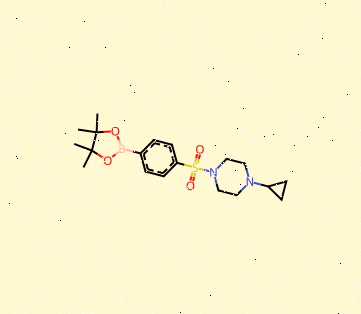 CC1(C)OB(c2ccc(S(=O)(=O)N3CCN(C4CC4)CC3)cc2)OC1(C)C